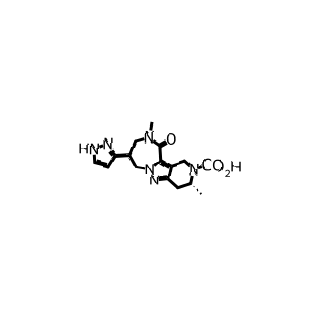 C[C@@H]1Cc2nn3c(c2CN1C(=O)O)C(=O)N(C)CC(c1cc[nH]n1)C3